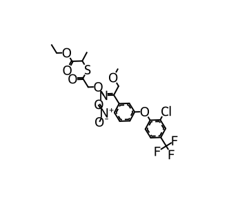 CCOC(=O)C(C)SC(=O)CON=C(COC)c1cc(Oc2ccc(C(F)(F)F)cc2Cl)ccc1[N+](=O)[O-]